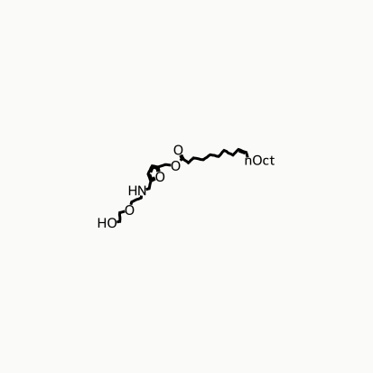 CCCCCCCC/C=C\CCCCCCCC(=O)OCc1ccc(CNCCOCCO)o1